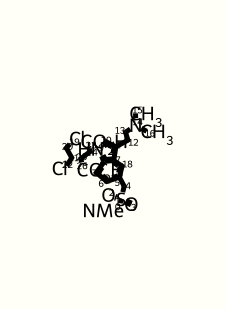 CNS(=O)(=O)Cc1ccc2[nH]cc(CCN(C)C)c2c1.ClCCCl.O=C(O)CCC(=O)O